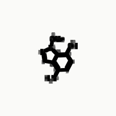 COn1ncc2c(N)ccc(O)c21